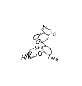 COc1ccc(C(=O)Cc2c(Cl)cncc2Cl)c2c1OC1(CCNCC1)O2